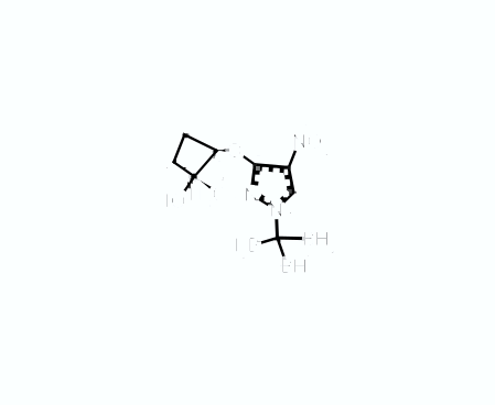 BC(B)(B)n1cc([N+](=O)[O-])c(O[C@@H]2CC[C@@]2(C)O)n1